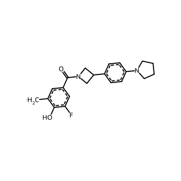 [CH2]c1cc(C(=O)N2CC(c3ccc(N4CCCC4)cc3)C2)cc(F)c1O